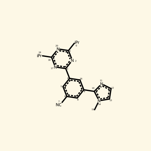 CC(C)c1nc(-c2cc(C#N)cc(-c3nccn3C)c2)nc(C(C)C)n1